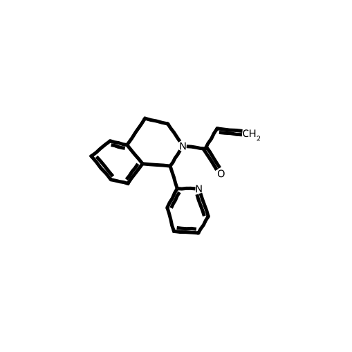 C=CC(=O)N1CCc2ccccc2C1c1ccccn1